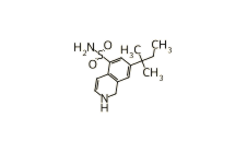 CCC(C)(C)c1cc2c(c(S(N)(=O)=O)c1)C=CNC2